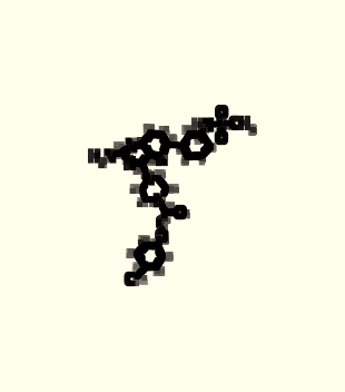 CS(=O)(=O)Nc1cccc(-c2ccc3nc(N)nc(N4CCN(C(=O)COc5ccc(Cl)cc5)CC4)c3n2)c1